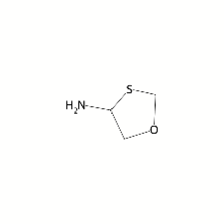 NC1COCS1